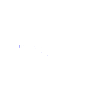 c1ccc(-c2cc(-c3ccccc3)c(N3CCNCC3)nn2)cc1